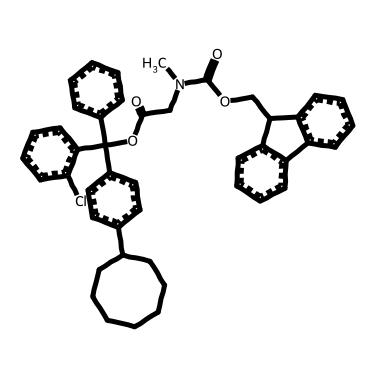 CN(CC(=O)OC(c1ccccc1)(c1ccc(C2CCCCCCC2)cc1)c1ccccc1Cl)C(=O)OCC1c2ccccc2-c2ccccc21